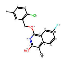 Cc1ccc(Cl)c(COc2nc(O)c(C#N)c3ccc(F)cc23)c1